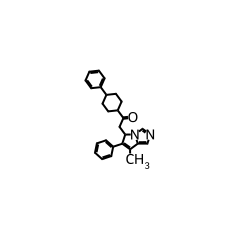 CC1=C(c2ccccc2)C(CC(=O)C2CCC(c3ccccc3)CC2)n2cncc21